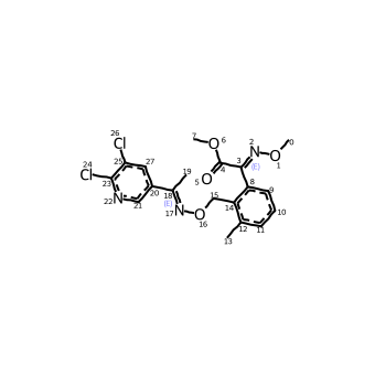 CO/N=C(/C(=O)OC)c1cccc(C)c1CO/N=C(\C)c1cnc(Cl)c(Cl)c1